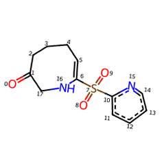 O=C1CCCC=C(S(=O)(=O)c2ccccn2)NC1